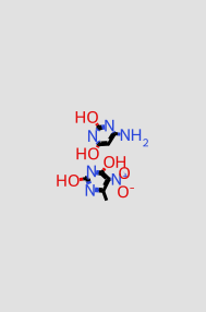 Cc1nc(O)nc(O)c1[N+](=O)[O-].Nc1cc(O)nc(O)n1